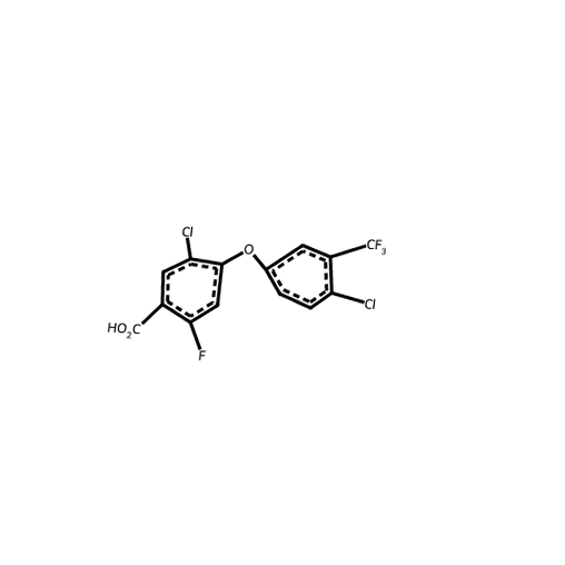 O=C(O)c1cc(Cl)c(Oc2ccc(Cl)c(C(F)(F)F)c2)cc1F